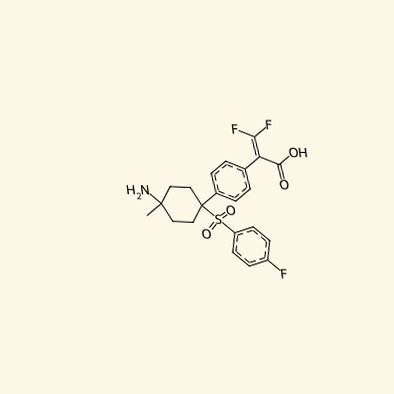 CC1(N)CCC(c2ccc(C(C(=O)O)=C(F)F)cc2)(S(=O)(=O)c2ccc(F)cc2)CC1